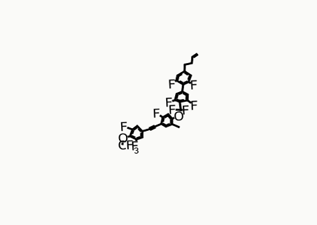 C=CCCc1cc(F)c(-c2cc(F)c(C(F)(F)Oc3cc(F)c(C#Cc4cc(F)c(OC(F)(F)F)c(F)c4)cc3C)c(F)c2)c(F)c1